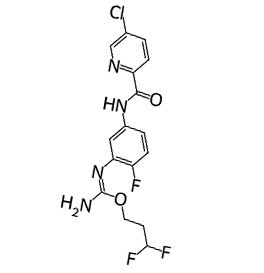 N/C(=N/c1cc(NC(=O)c2ccc(Cl)cn2)ccc1F)OCCC(F)F